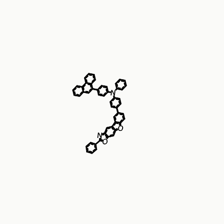 c1ccc(-c2nc3cc4c(cc3o2)oc2ccc(-c3ccc(N(c5ccccc5)c5ccc(-c6cc7ccccc7c7ccccc67)cc5)cc3)cc24)cc1